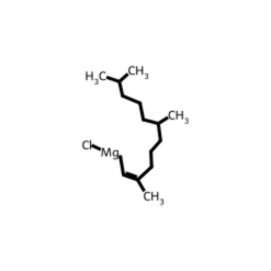 CC(=C[CH2][Mg][Cl])CCCC(C)CCCC(C)C